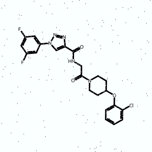 O=C(NCC(=O)N1CCC(Oc2ccccc2Cl)CC1)c1cn(-c2cc(F)cc(F)c2)nn1